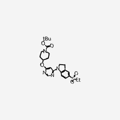 CCS(=O)(=O)c1ccc2c(c1)CCN2c1cc(OC2CCN(C(=O)OC(C)(C)C)CC2)ncn1